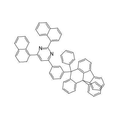 C1=c2ccccc2=C(c2cc(-c3cccc(C4(c5ccccc5)c5ccccc5C5(c6ccccc6)c6ccccc6-c6cccc4c65)c3)nc(-c3cccc4ccccc34)n2)CC1